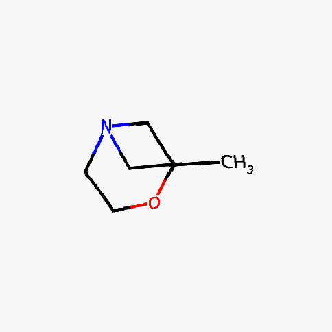 CC12CN(CCO1)C2